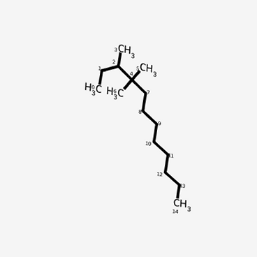 C[CH]C(C)C(C)(C)CCCCCCCC